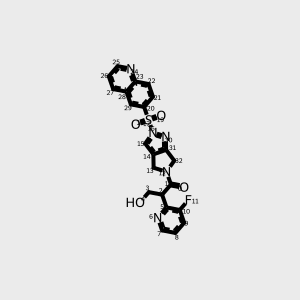 O=C(C(CO)c1ncccc1F)N1Cc2cn(S(=O)(=O)c3ccc4ncccc4c3)nc2C1